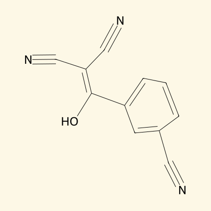 N#CC(C#N)=C(O)c1cccc(C#N)c1